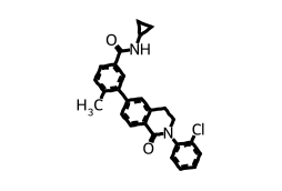 Cc1ccc(C(=O)NC2CC2)cc1-c1ccc2c(c1)CCN(c1ccccc1Cl)C2=O